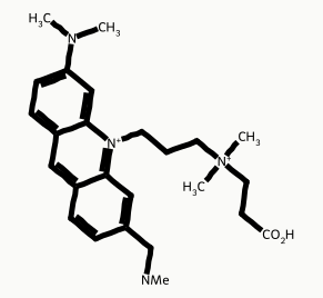 CNCc1ccc2cc3ccc(N(C)C)cc3[n+](CCC[N+](C)(C)CCC(=O)O)c2c1